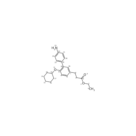 CCOC(=O)CCc1ccc(OC2CCCCC2)c(-c2ccc(N)cc2)c1